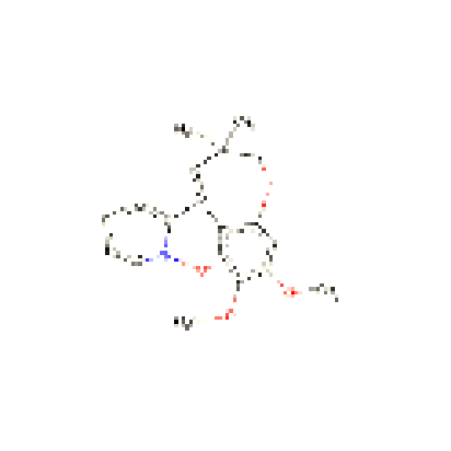 COc1cc2c(cc1OC)C(c1cccc[n+]1[O-])=CC(C)(C)CO2